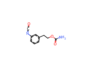 NC(=O)OCCc1cccc(N=C=O)c1